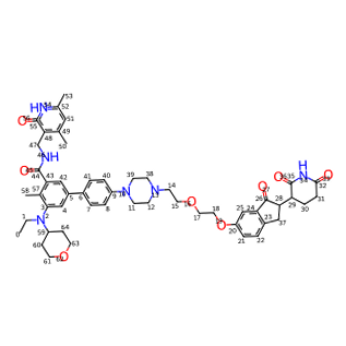 CCN(c1cc(-c2ccc(N3CCN(CCOCCOc4ccc5c(c4)C(=O)C(C4CCC(=O)NC4=O)C5)CC3)cc2)cc(C(=O)NCc2c(C)cc(C)[nH]c2=O)c1C)C1CCOCC1